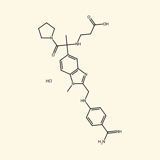 Cl.Cn1c(CNc2ccc(C(=N)N)cc2)nc2cc(C(C)(NCCC(=O)O)C(=O)N3CCCC3)ccc21